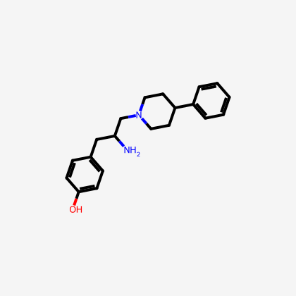 NC(Cc1ccc(O)cc1)CN1CCC(c2ccccc2)CC1